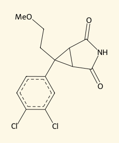 COCCC1(c2ccc(Cl)c(Cl)c2)C2C(=O)NC(=O)C21